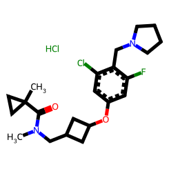 CN(CC1CC(Oc2cc(F)c(CN3CCCC3)c(Cl)c2)C1)C(=O)C1(C)CC1.Cl